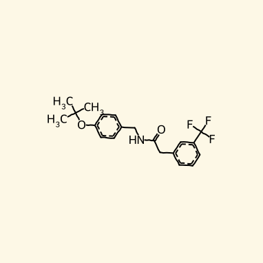 CC(C)(C)Oc1ccc(CNC(=O)Cc2cccc(C(F)(F)F)c2)cc1